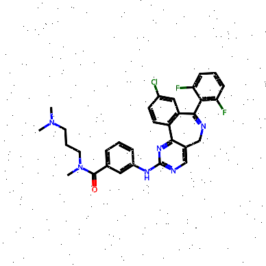 CN(C)CCCN(C)C(=O)c1cccc(Nc2ncc3c(n2)-c2ccc(Cl)cc2C(c2c(F)cccc2F)=NC3)c1